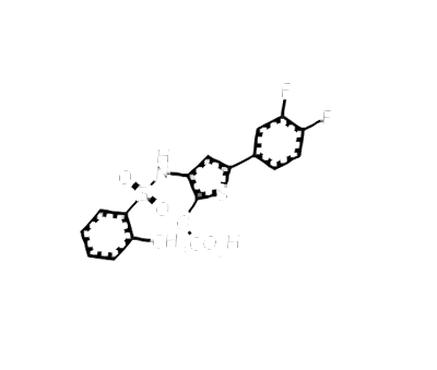 Cc1ccccc1S(=O)(=O)Nc1cc(-c2ccc(F)c(F)c2)sc1OC(=O)O